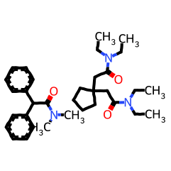 CCN(CC)C(=O)CC1(CC(=O)N(CC)CC)CCCC1.CN(C)C(=O)C(c1ccccc1)c1ccccc1